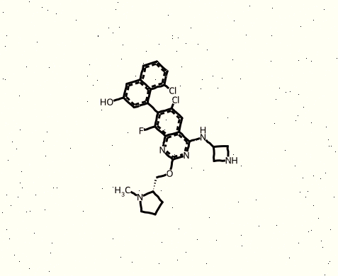 CN1CCC[C@H]1COc1nc(NC2CNC2)c2cc(Cl)c(-c3cc(O)cc4cccc(Cl)c34)c(F)c2n1